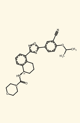 CC(C)Oc1ccc(-c2nc(-c3cccc4c3CCC[C@H]4NC(=O)N3CCOCC3)no2)cc1C#N